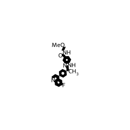 COCCNC(=O)c1ccc2[nH]c(C(C)[C@H]3CC[C@@H](c4ccnc5ccc(F)cc54)CC3)nc2c1